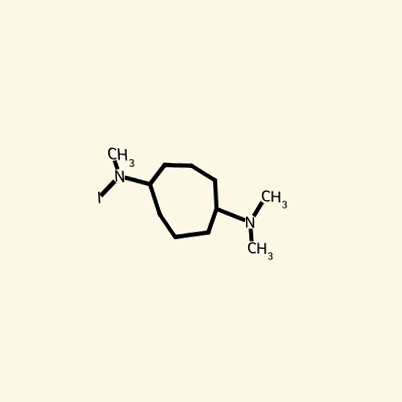 CN(C)C1CCCC(N(C)I)CCC1